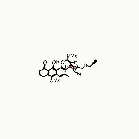 C#CCOCC12OC3c4c(C)cc5c(OC)c6c(c(O)c5c4O[C@](OC)(C3O1)[C@@]2(O)CBr)C(=O)CCC6